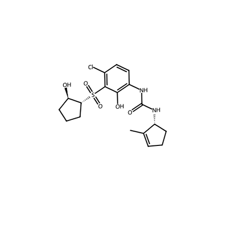 CC1=CCC[C@H]1NC(=O)Nc1ccc(Cl)c(S(=O)(=O)[C@@H]2CCC[C@H]2O)c1O